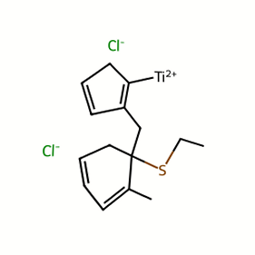 CCSC1(CC2=[C]([Ti+2])CC=C2)CC=CC=C1C.[Cl-].[Cl-]